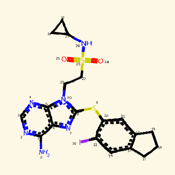 Nc1ncnc2c1nc(Sc1cc3c(cc1I)CCC3)n2CCS(=O)(=O)NC1CC1